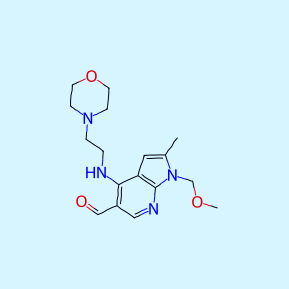 COCn1c(C)cc2c(NCCN3CCOCC3)c(C=O)cnc21